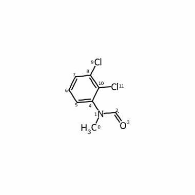 CN([C]=O)c1cccc(Cl)c1Cl